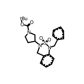 CC(C)(C)OC(=O)N1CCC(N2Cc3ccccc3N(Cc3ccccc3)S2(=O)=O)C1